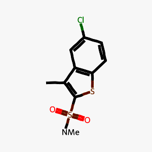 CNS(=O)(=O)c1sc2ccc(Cl)cc2c1C